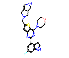 Fc1cc(-c2nc(N3CCOCC3)c3sc(CN4CC5=CNCC5C4)cc3n2)c2cc[nH]c2c1